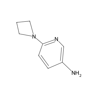 Nc1ccc(N2CCC2)nc1